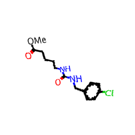 COC(=O)CCCCNC(=O)NCc1ccc(Cl)cc1